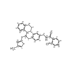 CC1=CCC(CN(Cc2ccc(CNC(=O)c3ccncc3Cl)cc2)C2CCCc3cccnc32)=N1